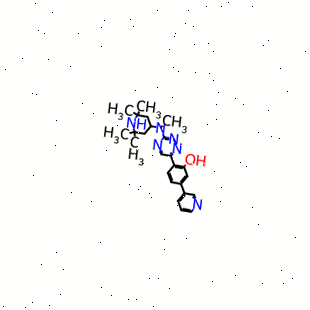 CN(c1ncc(-c2ccc(-c3cccnc3)cc2O)nn1)C1CC(C)(C)NC(C)(C)C1